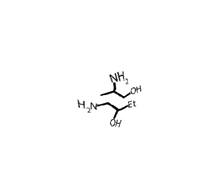 CC(N)CO.CCC(O)CN